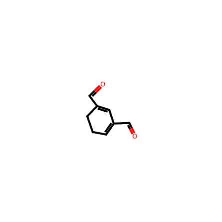 O=CC1=CCCC(C=O)=C1